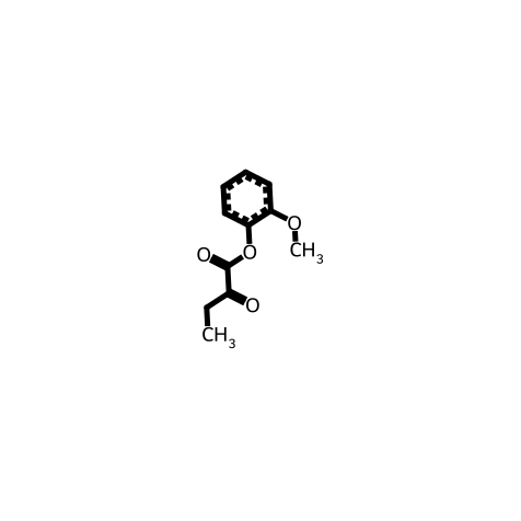 CCC(=O)C(=O)Oc1ccccc1OC